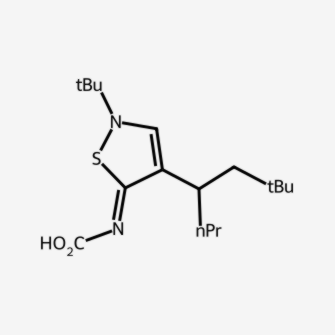 CCCC(CC(C)(C)C)c1cn(C(C)(C)C)sc1=NC(=O)O